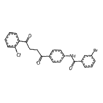 O=C(CCC(=O)c1ccccc1Cl)c1ccc(NC(=O)c2cccc(Br)c2)cc1